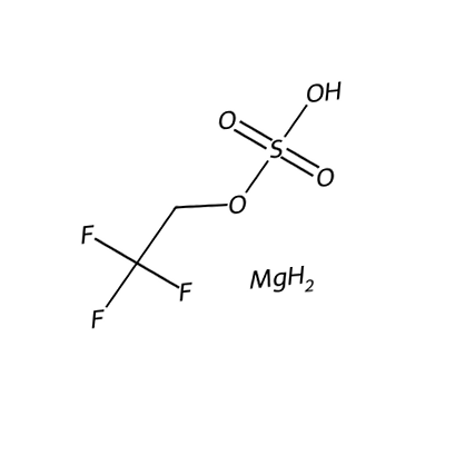 O=S(=O)(O)OCC(F)(F)F.[MgH2]